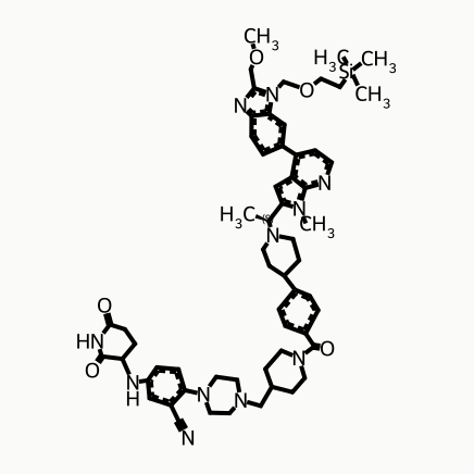 COCc1nc2ccc(-c3ccnc4c3cc([C@H](C)N3CCC(c5ccc(C(=O)N6CCC(CN7CCN(c8ccc(NC9CCC(=O)NC9=O)cc8C#N)CC7)CC6)cc5)CC3)n4C)cc2n1COCC[Si](C)(C)C